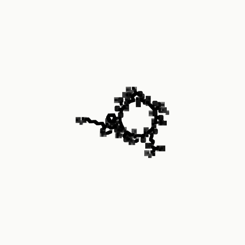 CC[C@H](C)[C@@H]1NC(=O)[C@@H](CCCNC(=N)N)NC(=O)[C@H](CC(C)C)NC(=O)[C@H]([C@H](O)C(C)C)NC(=O)[C@@H](NC(=O)[C@H](CC(C)C)NC(=O)CCCCCN)[C@@H](c2ccccc2)OC(=O)[C@H](CO)NC(=O)[C@H]([C@H](O)C(N)=O)NC(=O)CNC(=O)[C@H]([C@H](C)O)NC1=O